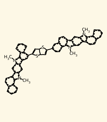 Cn1c2cc3c4ccc5cc(C6=CC7SC(c8cc9c%10cc%11c(cc%10n(C)c9c9ccccc89)c8ccc9ccccc9c8n%11C)=CC7S6)ccc5c4n(C)c3cc2c2ccc3ccccc3c21